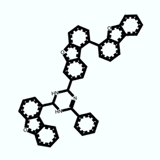 c1ccc(C2=NC(c3ccc4c(c3)oc3cccc(-c5cccc6c5oc5ccccc56)c34)NC(c3cccc4oc5ccccc5c34)N2)cc1